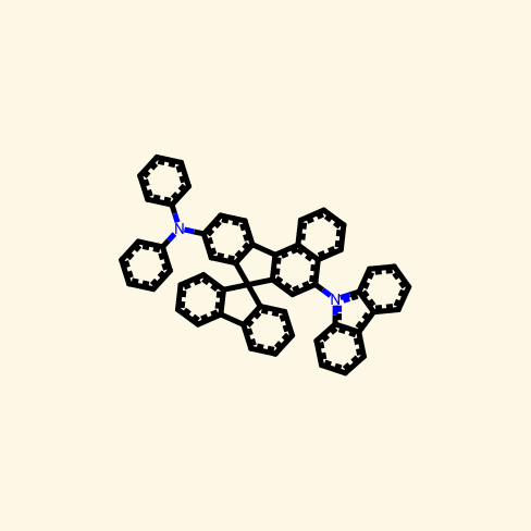 c1ccc(N(c2ccccc2)c2ccc3c(c2)C2(c4ccccc4-c4ccccc42)c2cc(-n4c5ccccc5c5ccccc54)c4ccccc4c2-3)cc1